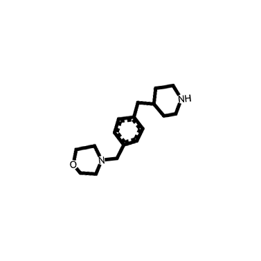 c1cc(CN2CCOCC2)ccc1CC1CCNCC1